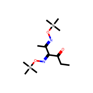 CCC(=O)C(=NO[Si](C)(C)C)C(C)=NO[Si](C)(C)C